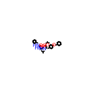 CC(C)C[C@H](NC(=O)NCc1ccccc1)C(=O)N[C@@H](Cc1ccc(OCc2ccccc2)cc1)C(=O)OC(C)(C)C